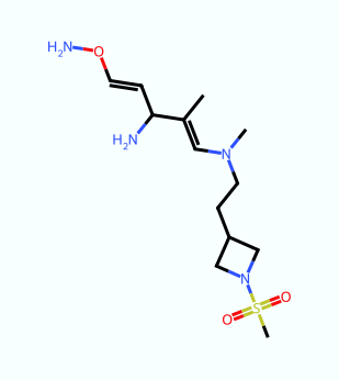 C/C(=C\N(C)CCC1CN(S(C)(=O)=O)C1)C(N)/C=C/ON